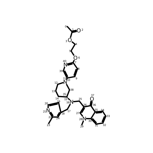 CC(=O)OCCOc1ccc(N2CCC[C@H](N(Cc3ccnc(C)c3)Cc3cn(C)c4ccccc4c3=O)C2)cn1